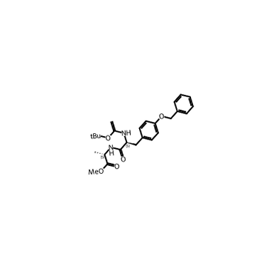 C=C(N[C@@H](Cc1ccc(OCc2ccccc2)cc1)C(=O)N[C@@H](C)C(=O)OC)OC(C)(C)C